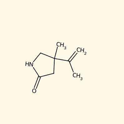 C=C(C)C1(C)CNC(=O)C1